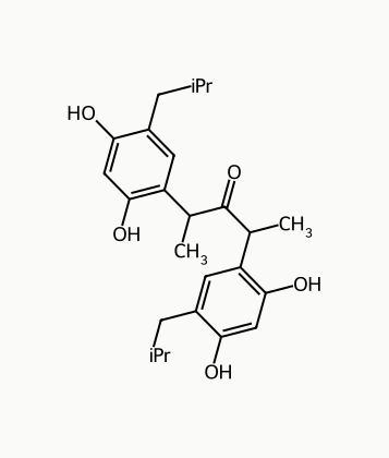 CC(C)Cc1cc(C(C)C(=O)C(C)c2cc(CC(C)C)c(O)cc2O)c(O)cc1O